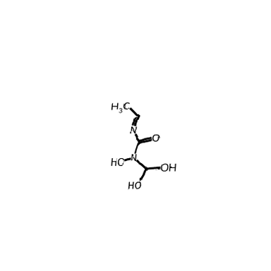 CC=NC(=O)N(O)C(O)O